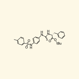 Cc1ccc(S(=O)(=O)Nc2ccc(NC(=S)N[C@H](Cc3ccccc3)C(=O)OC(C)(C)C)cc2)cc1